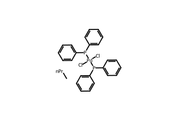 CCCC.[Cl][Pd]([Cl])([P](c1ccccc1)c1ccccc1)[P](c1ccccc1)c1ccccc1